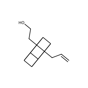 C=CCC12C3C4C5C3C1(CCO)C5C42